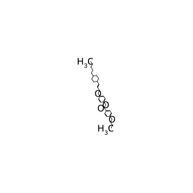 CCCCCC1CCC(C=CCOc2ccc(OC(=O)c3ccc(OCCC)cc3)cc2)CC1